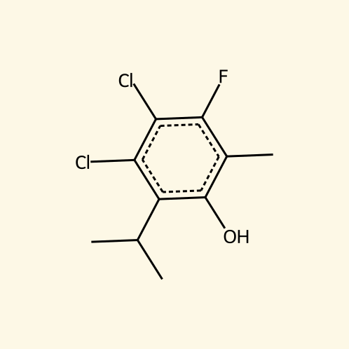 Cc1c(O)c(C(C)C)c(Cl)c(Cl)c1F